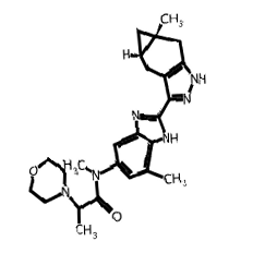 Cc1cc(N(C)C(=O)C(C)N2CCOCC2)cc2nc(-c3n[nH]c4c3C[C@@H]3C[C@]3(C)C4)[nH]c12